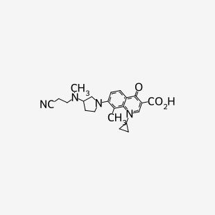 Cc1c(N2CCC(N(C)CCC#N)C2)ccc2c(=O)c(C(=O)O)cn(C3CC3)c12